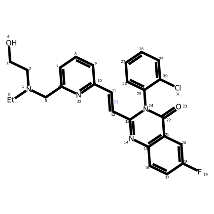 CCN(CCO)Cc1cccc(/C=C/c2nc3ccc(F)cc3c(=O)n2-c2ccccc2Cl)n1